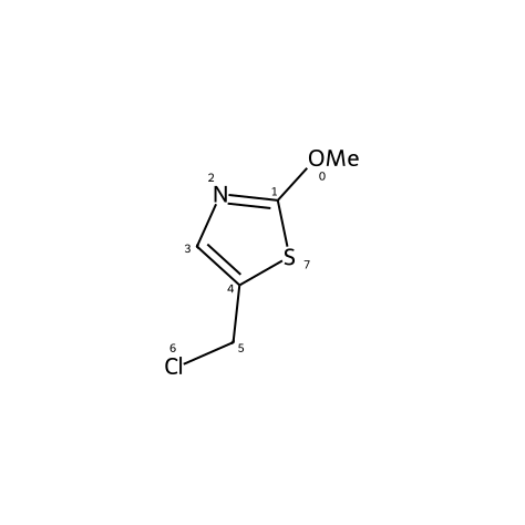 COc1ncc(CCl)s1